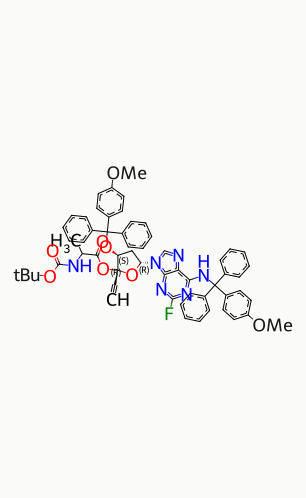 C#C[C@]1(OC(=O)C(C)NC(=O)OC(C)(C)C)O[C@@H](n2cnc3c(NC(c4ccccc4)(c4ccccc4)c4ccc(OC)cc4)nc(F)nc32)C[C@@H]1OC(c1ccccc1)(c1ccccc1)c1ccc(OC)cc1